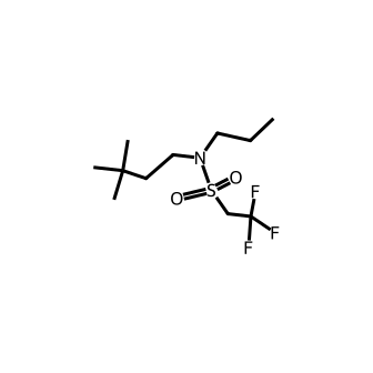 CCCN(CCC(C)(C)C)S(=O)(=O)CC(F)(F)F